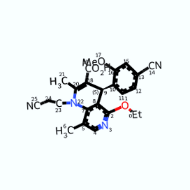 CCOc1ncc(C)c2c1[C@H](c1ccc(C#N)cc1OC)C(C(=O)O)=C(C)N2CCC#N